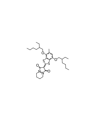 CCCCC(CC)COc1cc(C)c(OCC(CC)CCCC)c2c1SC(=C1C(=O)N3CCCCN3C1=O)S2